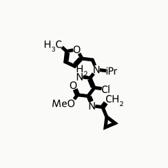 C=C(/N=C(C(=O)OC)\C(Cl)=C(/N)N(Cc1ccc(C)o1)C(C)C)C1CC1